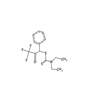 CCN(CC)C(=S)SC(C(=O)C(F)(F)F)c1ccccc1